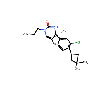 CC(C)C1=CN(CCC=O)C(=O)N[C@@]1(C)c1ccc(C2CC(C)(C)C2)c(Cl)c1